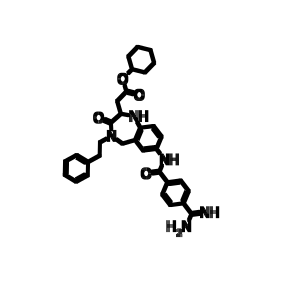 N=C(N)c1ccc(C(=O)Nc2ccc3c(c2)CN(CCc2ccccc2)C(=O)C(CC(=O)OC2CCCCC2)N3)cc1